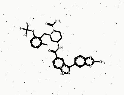 [2H]C([2H])([2H])Oc1cccc(F)c1CN1C[C@H](NC(=O)c2ccc3[nH]nc(-c4ccc5nc(C)sc5c4)c3c2)CC[C@H]1C(N)=O